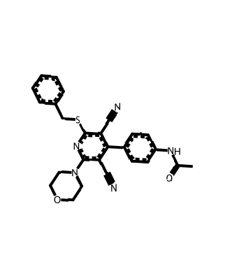 CC(=O)Nc1ccc(-c2c(C#N)c(SCc3ccccc3)nc(N3CCOCC3)c2C#N)cc1